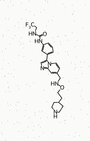 O=C(NCC(F)(F)F)Nc1cccc(-c2cnc3cc(CNOCCC4CCNCC4)ccn23)c1